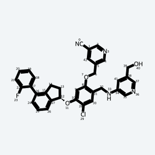 N#Cc1cncc(COc2cc(O[C@H]3CCc4c(-c5ccccc5F)cccc43)c(Cl)cc2CNc2cncc(CO)c2)c1